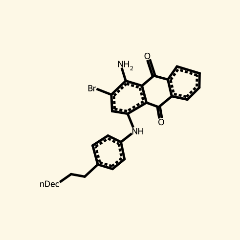 CCCCCCCCCCCCc1ccc(Nc2cc(Br)c(N)c3c2C(=O)c2ccccc2C3=O)cc1